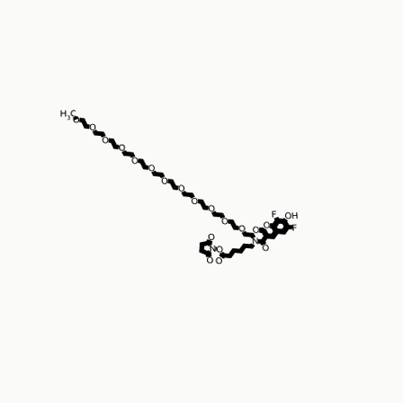 COCCOCCOCCOCCOCCOCCOCCOCCOCCOCCOCCOCCN(CCCCCC(=O)ON1C(=O)CCC1=O)C(=O)c1cc2cc(F)c(O)c(F)c2oc1=O